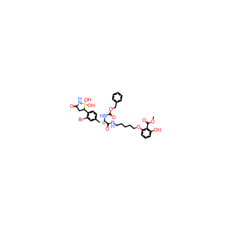 COC(=O)c1c(O)cccc1OCCCCCNC(=O)[C@H](Cc1ccc(C2CC(=O)NS2(O)O)c(Br)c1)NC(=O)OCc1ccccc1